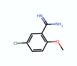 COc1ccc(Cl)cc1C(=N)N